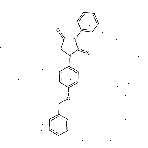 O=C1CN(c2ccc(OCc3ccccc3)cc2)C(=S)N1c1ccccc1